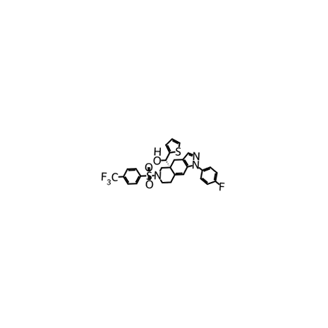 O=S(=O)(c1ccc(C(F)(F)F)cc1)N1CCC2=Cc3c(cnn3-c3ccc(F)cc3)C[C@]2(C(O)c2cccs2)C1